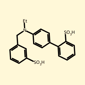 CCN(Cc1cccc(S(=O)(=O)O)c1)c1ccc(-c2ccccc2S(=O)(=O)O)cc1